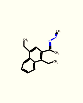 C=N/N=C(\C)c1cc(CC)c2ccccc2c1CC